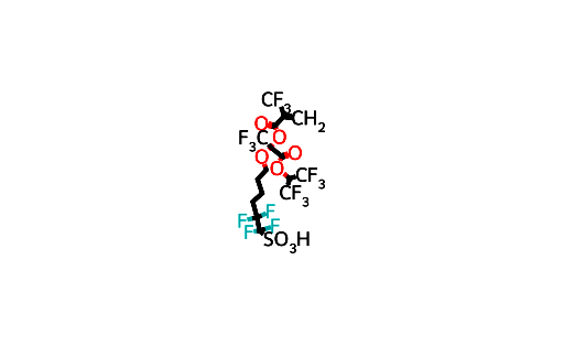 C=C(C(=O)OC(OCCCCC(F)(F)C(F)(F)S(=O)(=O)O)(C(=O)OC(C(F)(F)F)C(F)(F)F)C(F)(F)F)C(F)(F)F